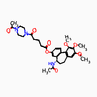 COc1cc2c(c(OC)c1OC)-c1ccc(OC(=O)CCCC(=O)N3CCN(C(C)=O)CC3)cc1[C@@H](NC(C)=O)CC2